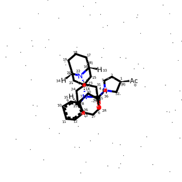 CC(=O)[C@@H]1CCN(C(=O)N(c2ccccc2)[C@H]2C[C@H]3CCC[C@@H](C2)N3[C@H]2C[C@@H]3CCC[C@@H](C3)C2)C1